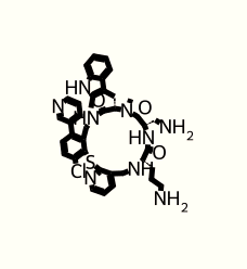 Cc1[nH]c2ccccc2c1C[C@H]1C(=O)NCc2c(-c3cccnc3)ccc(Cl)c2Sc2ncccc2CN[C@@H](CCCN)C(=O)N[C@@H](CN)C(=O)N1C